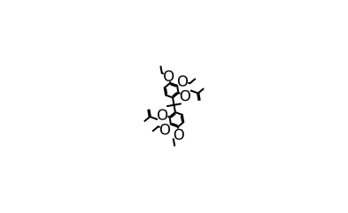 C=C(C)COc1c(C(C)(C)c2ccc(OCC)c(OCC)c2OCC(=C)C)ccc(OCC)c1OCC